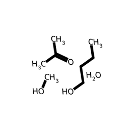 CC(C)=O.CCCCO.CO.O